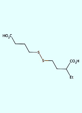 CCC(CCSSCCCC(=O)O)C(=O)O